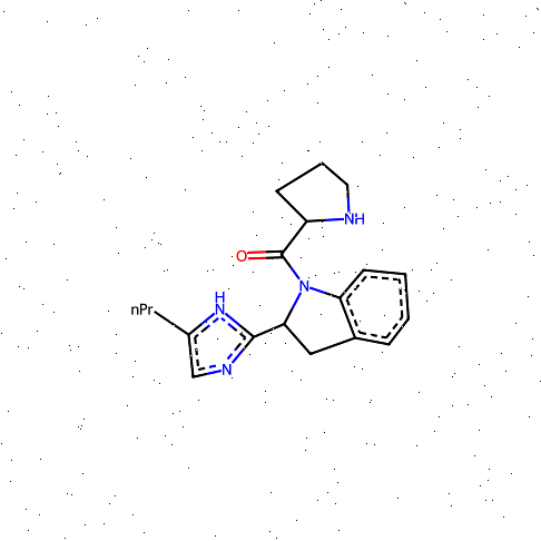 CCCc1cnc(C2Cc3ccccc3N2C(=O)C2CCCN2)[nH]1